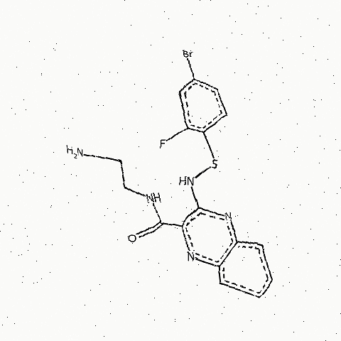 NCCNC(=O)c1nc2ccccc2nc1NSc1ccc(Br)cc1F